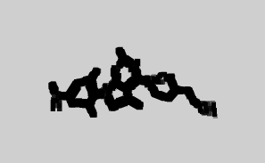 CBc1cc(C)c(-n2cc(C)c3c(N4CCC(CCO)CC4)nc(C)nc32)c(C)c1